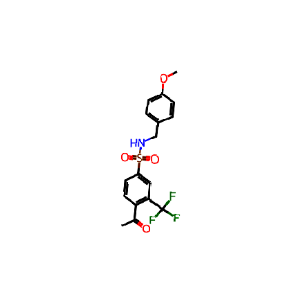 COc1ccc(CNS(=O)(=O)c2ccc(C(C)=O)c(C(F)(F)F)c2)cc1